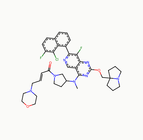 CN(c1nc(OCC23CCCN2CCC3)nc2c(F)c(-c3cccc4ccc(F)c(Cl)c34)ncc12)C1CCN(C(=O)/C=C/CN2CCOCC2)C1